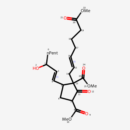 CCCCCC(O)/C=C/C1CC(C(=O)OC)C(=O)C1(C/C=C/CCCC(=O)OC)C(=O)OC